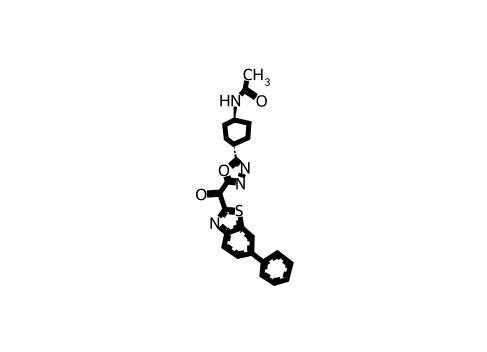 CC(=O)N[C@H]1CC[C@H](c2nnc(C(=O)c3nc4ccc(-c5ccccc5)cc4s3)o2)CC1